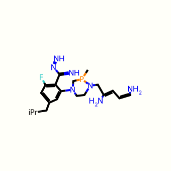 CC(C)Cc1cc(F)c(C(=N)N=N)c(N2CCN(C/C(N)=C/C=C\N)P(C)C2)c1